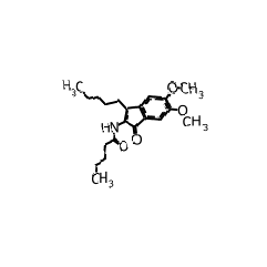 CCCCCC1=C(NC(=O)CCCC)C(=O)c2cc(OC)c(OC)cc21